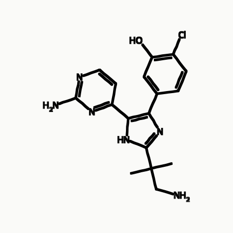 CC(C)(CN)c1nc(-c2ccc(Cl)c(O)c2)c(-c2ccnc(N)n2)[nH]1